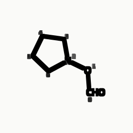 O=CON1CCCC1